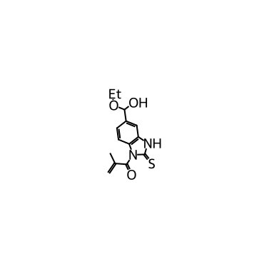 C=C(C)C(=O)n1c(=S)[nH]c2cc(C(O)OCC)ccc21